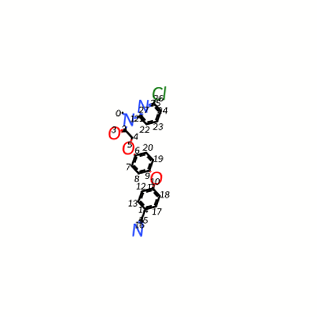 CN(C(=O)COc1ccc(Oc2ccc(C#N)cc2)cc1)c1cccc(Cl)n1